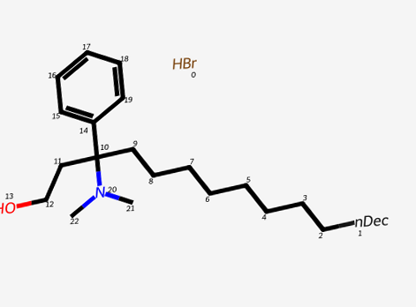 Br.CCCCCCCCCCCCCCCCCCC(CCO)(c1ccccc1)N(C)C